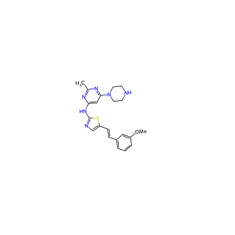 COc1cccc(C=Cc2cnc(Nc3cc(N4CCNCC4)nc(C)n3)s2)c1